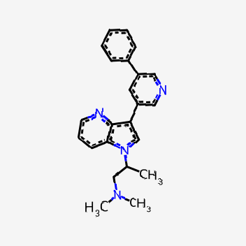 CC(CN(C)C)n1cc(-c2cncc(-c3ccccc3)c2)c2ncccc21